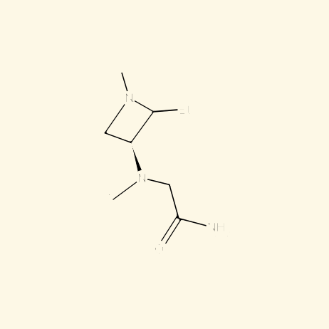 CCC1[C@@H](N(C)CC(N)=O)CN1C